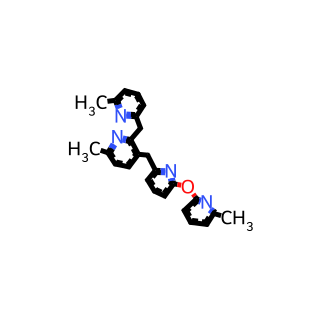 Cc1cccc(Cc2nc(C)ccc2Cc2cccc(Oc3cccc(C)n3)n2)n1